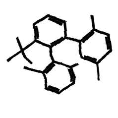 Cc1ccc(C)c(-c2[c]ccc(C(C)(C)C)c2-c2c(C)cccc2C)c1